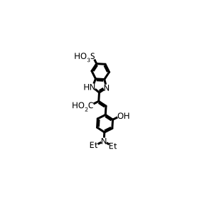 CCN(CC)c1ccc(/C=C(\C(=O)O)c2nc3ccc(S(=O)(=O)O)cc3[nH]2)c(O)c1